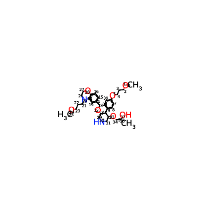 COCCCOc1ccc(C2[C@@H](OCc3ccc4c(c3)N(CCCOC)CCO4)CNC[C@H]2OC[C@H](C)O)cc1